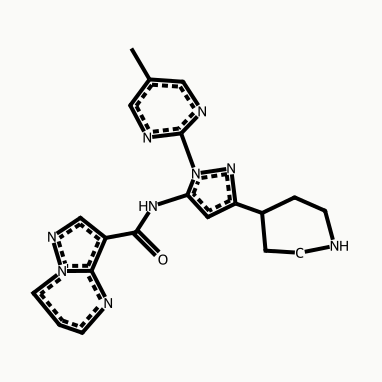 Cc1cnc(-n2nc(C3CCNCC3)cc2NC(=O)c2cnn3cccnc23)nc1